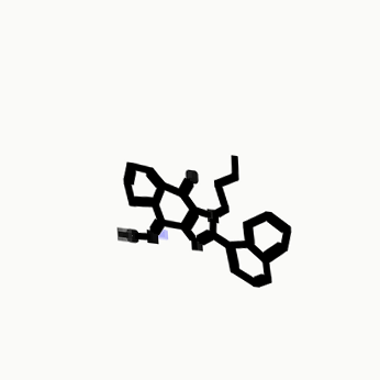 CCCCn1c(-c2cccc3ccccc23)nc2c1C(=O)c1ccccc1/C2=N\O